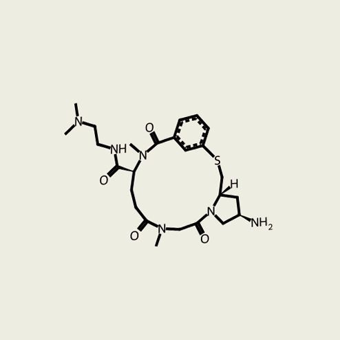 CN(C)CCNC(=O)[C@@H]1CCC(=O)N(C)CC(=O)N2C[C@H](N)C[C@H]2CSc2cccc(c2)C(=O)N1C